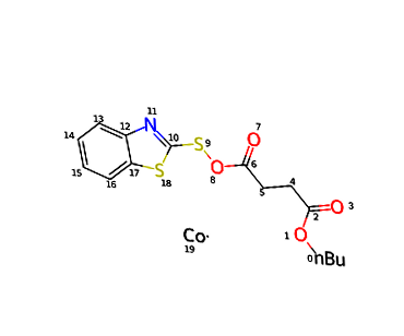 CCCCOC(=O)CCC(=O)OSc1nc2ccccc2s1.[Co]